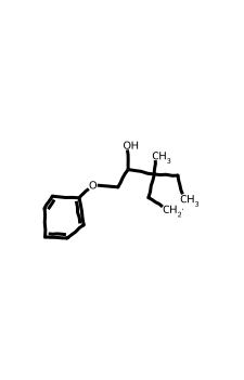 [CH2]CC(C)(CC)C(O)COc1ccccc1